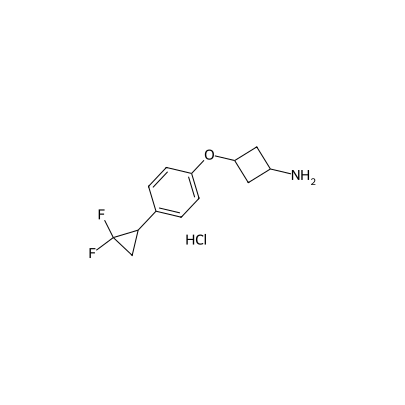 Cl.NC1CC(Oc2ccc(C3CC3(F)F)cc2)C1